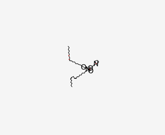 CCCCC/C=C\C/C=C\CCCCCCCCN(CCOCCCCCCCC/C=C\CCCCCCCC)C(=O)OCCCN1CCCCC1